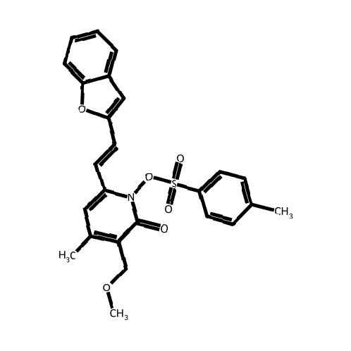 COCc1c(C)cc(C=Cc2cc3ccccc3o2)n(OS(=O)(=O)c2ccc(C)cc2)c1=O